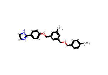 COc1ccc(COCc2cc(C)cc(COc3ccc(C4=NCCN4)cc3)c2)cc1